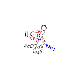 CSCCC(N)CSSCC(Cc1ccccc1)C(=O)NC(C(=O)OC(COC(C)=O)COC(C)=O)C(C)O